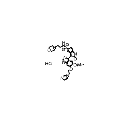 COc1cc2c(C3=c4cc(S(=O)(=O)NCCN5CCOCC5)ccc4=NC3=O)ncnc2cc1OCCn1ccnc1.Cl